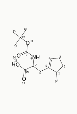 CC1CCC=C1CC(NC(=O)OC(C)(C)C)C(=O)O